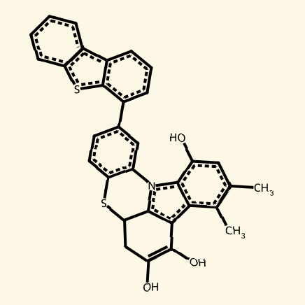 Cc1cc(O)c2c(c1C)c1c3n2-c2cc(-c4cccc5c4sc4ccccc45)ccc2SC3CC(O)=C1O